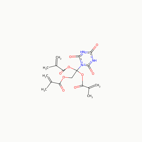 C=C(C)C(=O)OCC(OC(=O)C(=C)C)(OC(=O)C(=C)C)n1c(=O)[nH]c(=O)[nH]c1=O